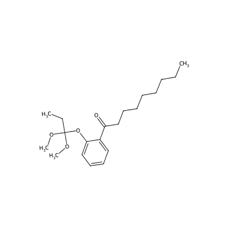 CCCCCCCCC(=O)c1ccccc1OC(CC)(OC)OC